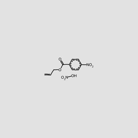 C=CCOC(=O)c1ccc([N+](=O)[O-])cc1.O=[N+]([O-])O